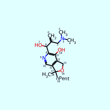 C=C(CN(C)C)C(O)c1ncc2c(c1O)COC2(C)CCCCC